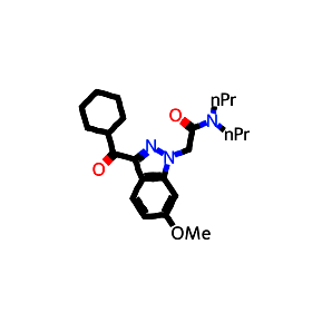 CCCN(CCC)C(=O)Cn1nc(C(=O)C2CCCCC2)c2ccc(OC)cc21